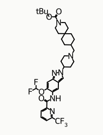 CC(C)(C)OC(=O)N1CCC2(CCC(CN3CCC(n4cc5cc(NC(=O)c6cccc(C(F)(F)F)n6)c(OC(F)F)cc5n4)CC3)CC2)CC1